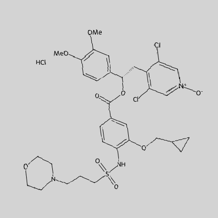 COc1ccc([C@H](Cc2c(Cl)c[n+]([O-])cc2Cl)OC(=O)c2ccc(NS(=O)(=O)CCCN3CCOCC3)c(OCC3CC3)c2)cc1OC.Cl